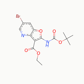 CCOC(=O)c1c(NC(=O)OC(C)(C)C)oc2cc(Br)cnc12